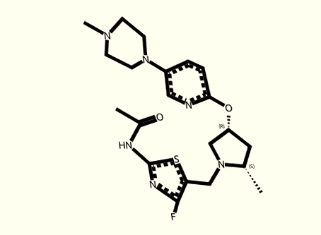 CC(=O)Nc1nc(F)c(CN2C[C@H](Oc3ccc(N4CCN(C)CC4)cn3)C[C@@H]2C)s1